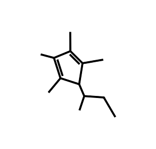 CCC(C)C1C(C)=C(C)C(C)=C1C